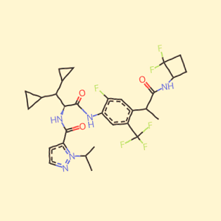 CC(C(=O)NC1CCC1(F)F)c1cc(F)c(NC(=O)[C@@H](NC(=O)c2ccnn2C(C)C)C(C2CC2)C2CC2)cc1C(F)(F)F